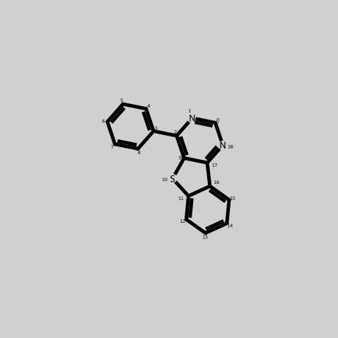 [c]1nc(-c2ccccc2)c2sc3ccccc3c2n1